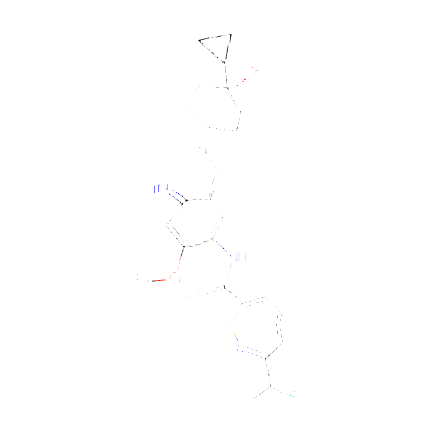 CCOC1=CC(=N)/C(=C\N[C@H]2CC[C@@](O)(C3CC3)CC2)C=C1NC(=O)C1=CC=CC(C(C)F)=NS1